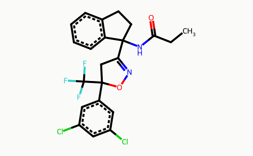 CCC(=O)NC1(C2=NOC(c3cc(Cl)cc(Cl)c3)(C(F)(F)F)C2)CCc2ccccc21